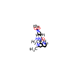 Cc1cc2cccnc2c(C(C)(C)NC(=O)[C@H]2[C@@H]3CN(C(=O)OC(C)(C)C)C[C@@H]32)n1